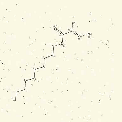 CCCCCCCCCCOC(=O)C(C)=CO